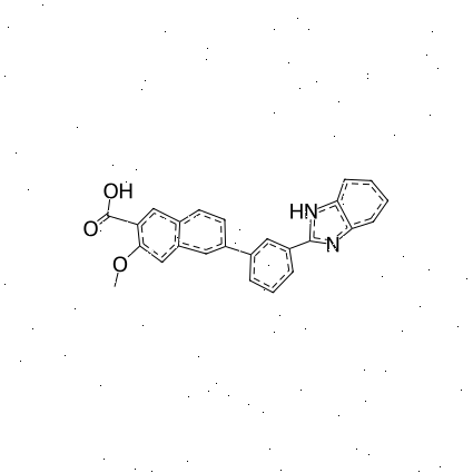 COc1cc2cc(-c3cccc(-c4nc5ccccc5[nH]4)c3)ccc2cc1C(=O)O